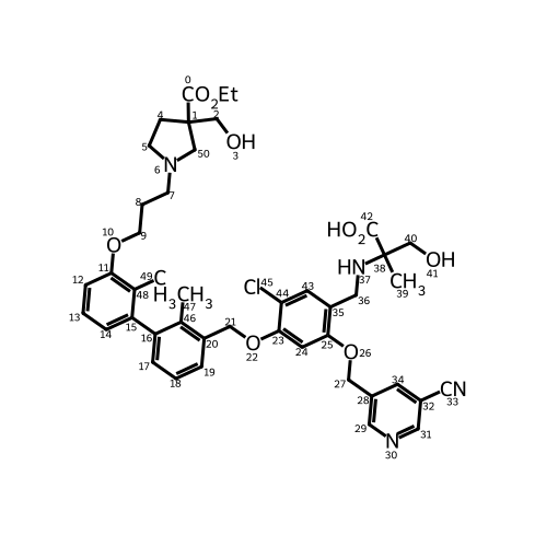 CCOC(=O)C1(CO)CCN(CCCOc2cccc(-c3cccc(COc4cc(OCc5cncc(C#N)c5)c(CNC(C)(CO)C(=O)O)cc4Cl)c3C)c2C)C1